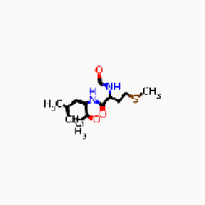 CSCCC(NC=O)C(=O)NC(CC(C)C)C(C)=O